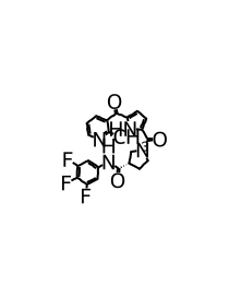 Cc1ncccc1C(=O)c1ccc(C(=O)N2CC[C@H](C(=O)Nc3cc(F)c(F)c(F)c3)C2)[nH]1